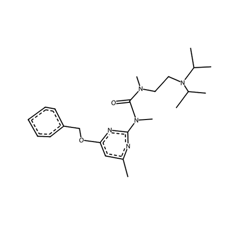 Cc1cc(OCc2ccccc2)nc(N(C)C(=O)N(C)CCN(C(C)C)C(C)C)n1